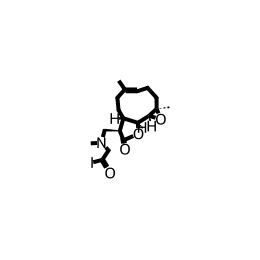 C/C1=C\CC[C@@]2(C)O[C@H]2[C@H]2OC(=O)[C@@H](CN(C)CC(=O)I)[C@@H]2CC1